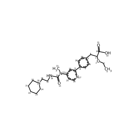 CCOC(Cc1ccc(-c2cc(N(C)C(=O)NCCN3CCCCC3)ccn2)cc1)C(=O)O